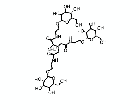 NC(C(=O)NCCO[C@H]1O[C@H](CO)[C@@H](O)[C@H](O)[C@@H]1O)N(CC(=O)NCCO[C@H]1O[C@H](CO)[C@@H](O)[C@H](O)[C@@H]1O)CC(=O)NCCO[C@H]1O[C@H](CO)[C@@H](O)[C@H](O)[C@@H]1O